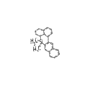 C[Si]1(C)c2cc3ccccc3cc2-c2cccc3cccc1c23